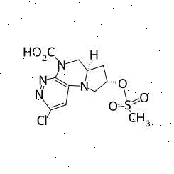 CS(=O)(=O)O[C@H]1C[C@@H]2CN(C(=O)O)c3nnc(Cl)cc3N2C1